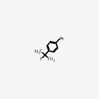 CC(C)c1ccc(C(C)(C)F)cc1